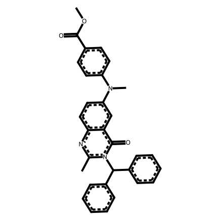 COC(=O)c1ccc(N(C)c2ccc3nc(C)n(C(c4ccccc4)c4ccccc4)c(=O)c3c2)cc1